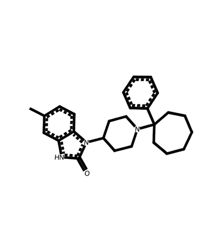 Cc1ccc2c(c1)[nH]c(=O)n2C1CCN(C2(c3ccccc3)CCCCCC2)CC1